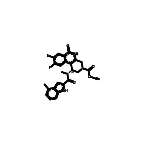 Cc1cccc2[nH]c(C(=O)N(C)[C@H]3CN(C(=O)OC(C)(C)C)Cc4[nH]c(=O)c5cc(F)c(F)cc5c43)cc12